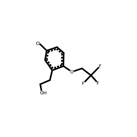 OCCc1cc(Cl)ccc1OCC(F)(F)F